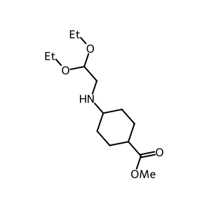 CCOC(CNC1CCC(C(=O)OC)CC1)OCC